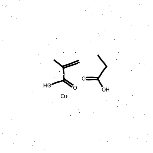 C=C(C)C(=O)O.CCC(=O)O.[Cu]